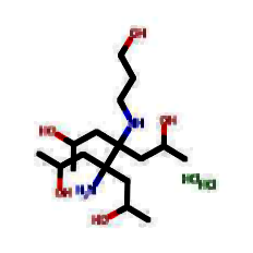 CC(O)CC(N)(CC(C)O)C(CC(C)O)(CC(C)O)NCCCO.Cl.Cl